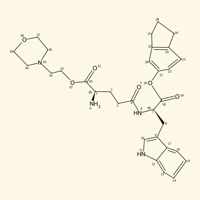 N[C@H](CCC(=O)N[C@H](Cc1c[nH]c2ccccc12)C(=O)Oc1ccc2c(c1)CCC2)C(=O)OCCN1CCOCC1